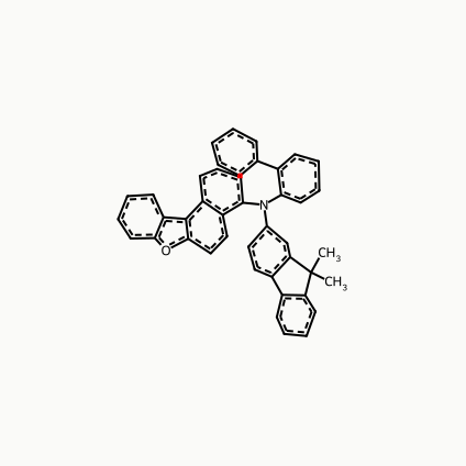 CC1(C)c2ccccc2-c2ccc(N(c3ccccc3-c3ccccc3)c3cccc4c3ccc3oc5ccccc5c34)cc21